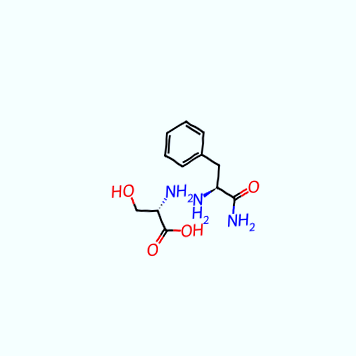 NC(=O)[C@@H](N)Cc1ccccc1.N[C@@H](CO)C(=O)O